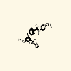 CC(C)Oc1cc(Oc2ccc(C(=O)NC3CCN(C)CC3)cc2)cc(C(=O)NC2=NCCS2)c1